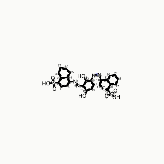 O=S(=O)(O)c1ccc(N=Nc2c(O)ccc(/N=N\c3ccc(S(=O)(=O)O)c4ccccc34)c2O)c2ccccc12